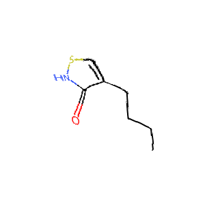 CCCCc1cs[nH]c1=O